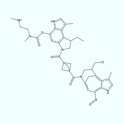 CCC1CN(C(=O)C23CC(C(=O)N4CC(CCl)C5=c6c(C)c[nH]c6=C(N=O)C=C4C5)(C2)C3)c2cc(OC(=O)N(C)CCNC)c3[nH]cc(C)c3c21